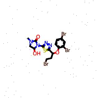 CN1CC(O)N(c2nnc(C(CCBr)Oc3ccc(Br)cc3Br)s2)C1=O